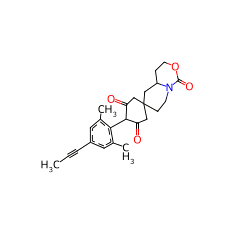 CC#Cc1cc(C)c(C2C(=O)CC3(CCN4C(=O)OCCC4C3)CC2=O)c(C)c1